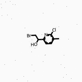 Cc1ccc(C(O)CBr)nc1Cl